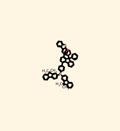 CC1(C)c2ccccc2-c2ccc(N(c3ccc(-c4ccc(-c5ccc6sc7ccccc7c6c5)c5c4-c4ccccc4C5(c4c#cccc4)C4C=CC=CC4)cc3)c3ccc4c(c3)C(C)(C)c3ccccc3-4)cc21